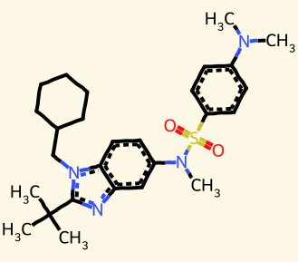 CN(C)c1ccc(S(=O)(=O)N(C)c2ccc3c(c2)nc(C(C)(C)C)n3CC2CCCCC2)cc1